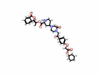 C/C(OC(=O)C1CC(N2CCN(CC(=O)c3ccc(OCC(=O)OC4CCCCC4)cc3)C(=O)C2)CCN1)=C1/OC(=O)c2ccccc21